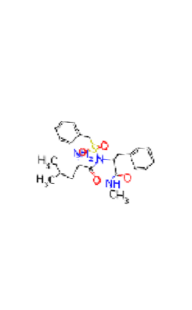 CNC(=O)[C@H](Cc1ccccc1)N(C(=O)[C@@H](N)CC(C)C)S(=O)(=O)Cc1ccccc1